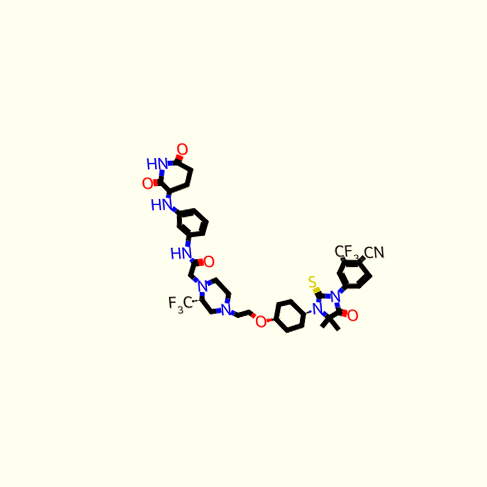 CC1(C)C(=O)N(c2ccc(C#N)c(C(F)(F)F)c2)C(=S)N1[C@H]1CC[C@H](OCCN2CCN(CC(=O)Nc3cccc(NC4CCC(=O)NC4=O)c3)[C@@H](C(F)(F)F)C2)CC1